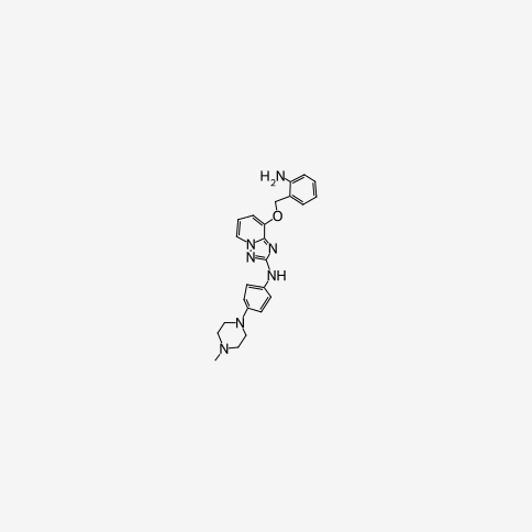 CN1CCN(c2ccc(Nc3nc4c(OCc5ccccc5N)cccn4n3)cc2)CC1